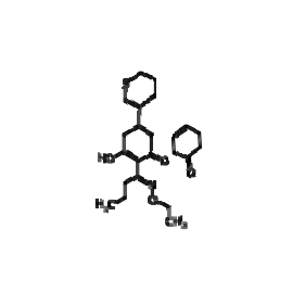 CCCC(=NOCC)C1=C(O)CC(C2CCCSC2)CC1=O.O=C1CC=CCC1